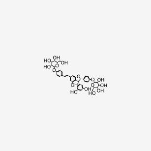 OC[C@H]1O[C@@H](Oc2ccc(/C=C/c3cc(O)c4c(c3)O[C@H](c3ccc(O[C@@H]5O[C@H](CO)[C@@H](O)[C@H](O)[C@H]5O)cc3)[C@H]4c3cc(O)cc(O)c3)cc2)[C@H](O)[C@@H](O)[C@@H]1O